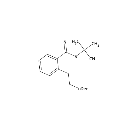 CCCCCCCCCCCCc1ccccc1C(=S)SC(C)(C)C#N